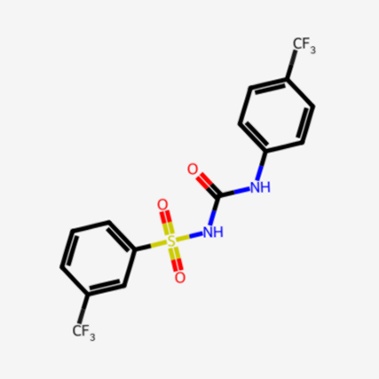 O=C(Nc1ccc(C(F)(F)F)cc1)NS(=O)(=O)c1cccc(C(F)(F)F)c1